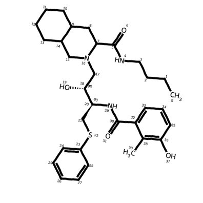 CCCCNC(=O)C1CC2CCCCC2CN1C[C@@H](O)[C@H](CSc1ccccc1)NC(=O)c1cccc(O)c1C